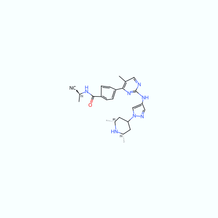 Cc1cnc(Nc2cnn(C3C[C@@H](C)N[C@@H](C)C3)c2)nc1-c1ccc(C(=O)N[C@@H](C)C#N)cc1